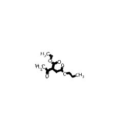 CCCOC(=O)CC(C(C)=O)C(=O)OCC